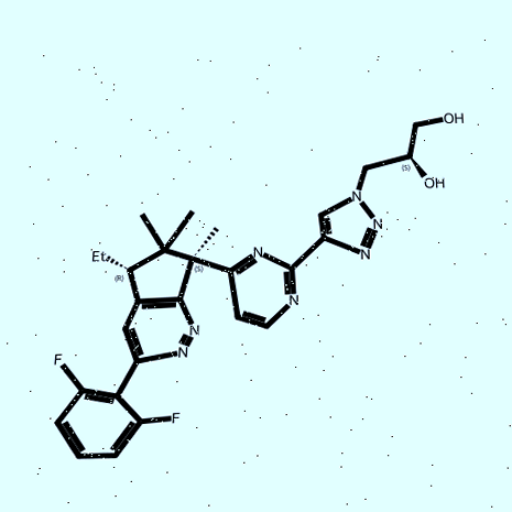 CC[C@H]1c2cc(-c3c(F)cccc3F)nnc2[C@](C)(c2ccnc(-c3cn(C[C@H](O)CO)nn3)n2)C1(C)C